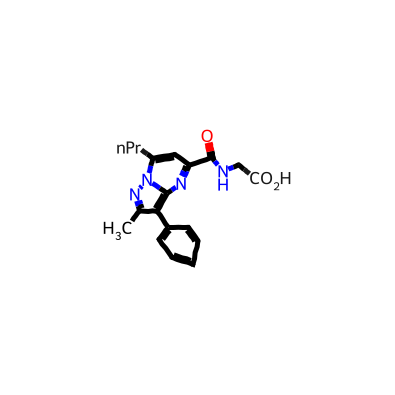 CCCc1cc(C(=O)NCC(=O)O)nc2c(-c3ccccc3)c(C)nn12